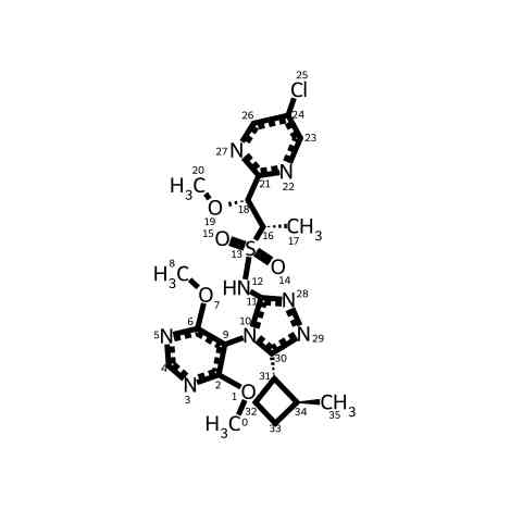 COc1ncnc(OC)c1-n1c(NS(=O)(=O)[C@@H](C)[C@H](OC)c2ncc(Cl)cn2)nnc1[C@H]1CC[C@@H]1C